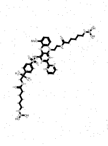 COc1ccccc1Oc1c(NS(=O)(=O)c2ccc(C(C)(C)COC(=O)CCCCCON(O)O)cc2)nc(-c2ncccn2)nc1OCCOC(=O)CCCCCON(O)O